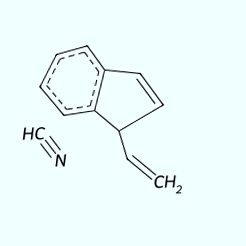 C#N.C=CC1C=Cc2ccccc21